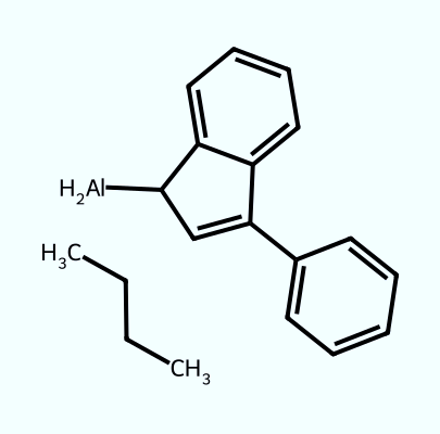 CCCC.[AlH2][CH]1C=C(c2ccccc2)c2ccccc21